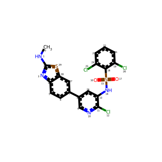 CNc1nc2ccc(-c3cnc(Cl)c(NS(=O)(=O)c4c(Cl)cccc4Cl)c3)cc2s1